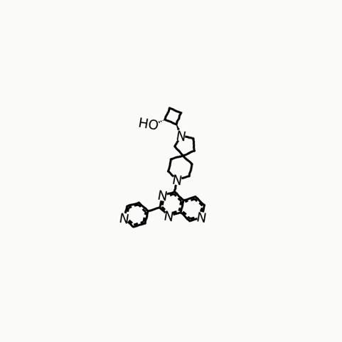 O[C@@H]1CC[C@H]1N1CCC2(CCN(c3nc(-c4ccncc4)nc4cnccc34)CC2)C1